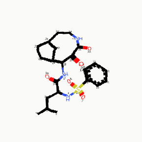 CC(C)CC(NS(=O)(=O)c1ccccc1)C(=O)NC1C(=O)C(=O)NCCC2CCC1C2